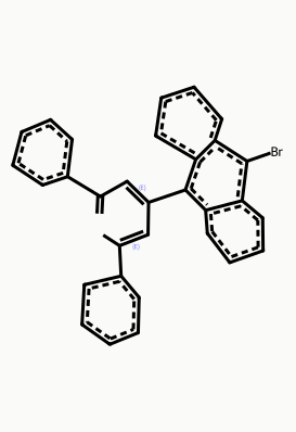 C=C(/C=C(\C=C(/C)c1ccccc1)c1c2ccccc2c(Br)c2ccccc12)c1ccccc1